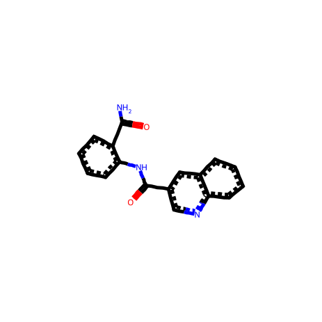 NC(=O)c1ccccc1NC(=O)c1cnc2ccccc2c1